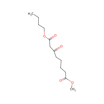 CCCCOC(=O)CC(=O)CCCCC(=O)OC